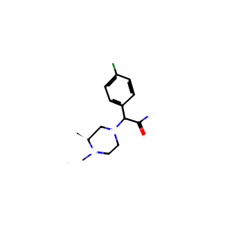 C[C@@H]1CN(C(=O)O)[C@@H](C)CN1C(C(N)=O)c1ccc(F)cc1